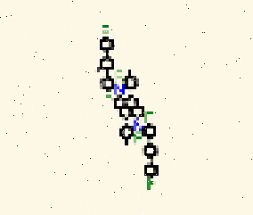 Cc1cc(-c2ccc(F)cc2)ccc1-c1ccc(F)c(N(c2cccc(C)c2F)c2ccc3ccc4c(N(c5cc(-c6ccc(-c7ccc(F)cc7)cc6)ccc5F)c5cccc(C)c5F)ccc5ccc2c3c54)c1